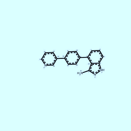 Nc1n[nH]c2cccc(-c3ccc(-c4cccnc4)cc3)c12